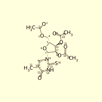 CC(=O)OC[C@H]1O[C@@H](n2cc(C)c(=O)[nH]c2=S)[C@H](OC(C)=O)[C@@H]1OC(C)=O